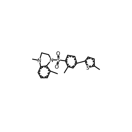 Cc1ccc(-c2ccc(S(=O)(=O)N3CCN(C)c4cccc(C)c43)c(C)c2)s1